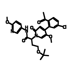 COc1ccc(NC(=O)C(CCOC(C)(C)C)n2cc(OC)c(-c3cc(Cl)ccc3C(C)=O)cc2=O)cn1